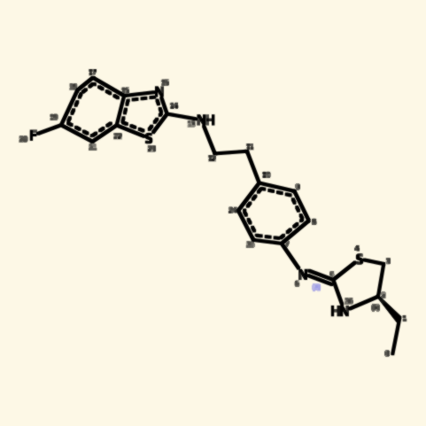 CC[C@@H]1CS/C(=N\c2ccc(CCNc3nc4ccc(F)cc4s3)cc2)N1